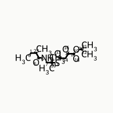 CCC(C)C(=O)NCC(C)(C)SC(=O)CC(=O)C(=O)OC(C)C